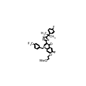 COCCOc1cc2c(cc1F)c(=O)c(-c1noc(C(C)(C)c3ccc(F)cc3)n1)cn2Cc1ccc(C(F)(F)F)cc1